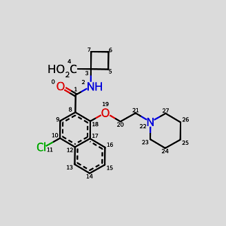 O=C(NC1(C(=O)O)CCC1)c1cc(Cl)c2ccccc2c1OCCN1CCCCC1